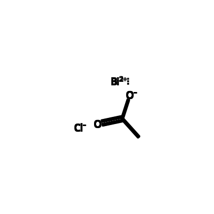 CC(=O)[O-].[Bi+2].[Cl-]